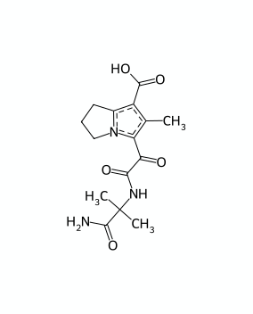 Cc1c(C(=O)O)c2n(c1C(=O)C(=O)NC(C)(C)C(N)=O)CCC2